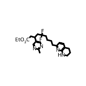 CCOC(=O)CC(CC(F)(F)CCCCc1ccc2c(n1)NCCC2)c1cnc(C)nc1